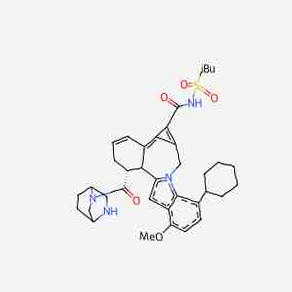 CCC(C)S(=O)(=O)NC(=O)C1=C2Cn3c(cc4c(OC)ccc(C5CCCCC5)c43)C3C(=C21)C=CC[C@H]3C(=O)N1CC2CCC1CN2